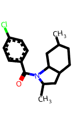 CC1CCC2CC(C)N(C(=O)c3ccc(Cl)cc3)C2C1